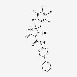 CC1(Cc2c(F)c(F)c(F)c(F)c2F)NC(=O)C(C(=O)Nc2ccc(C3CCCCC3)cc2)=C1O